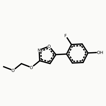 COCOc1cc(-c2ccc(O)cc2F)on1